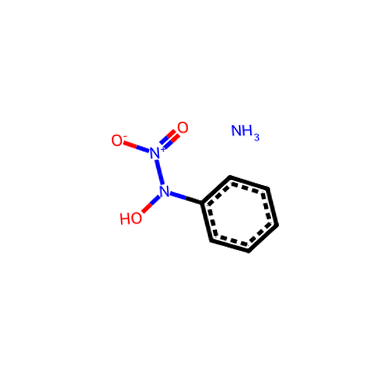 N.O=[N+]([O-])N(O)c1ccccc1